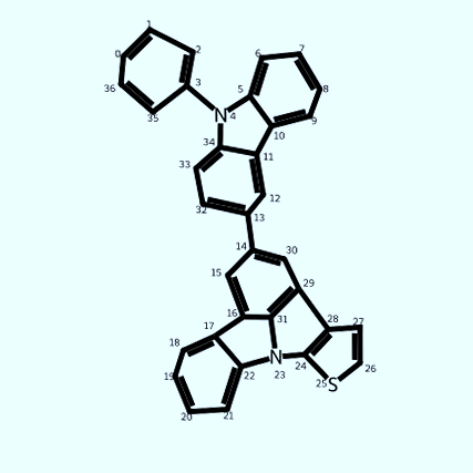 c1ccc(-n2c3ccccc3c3cc(-c4cc5c6ccccc6n6c7sccc7c(c4)c56)ccc32)cc1